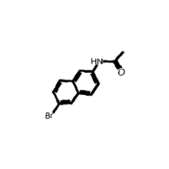 CC(=O)Nc1ccc2cc(Br)ccc2c1